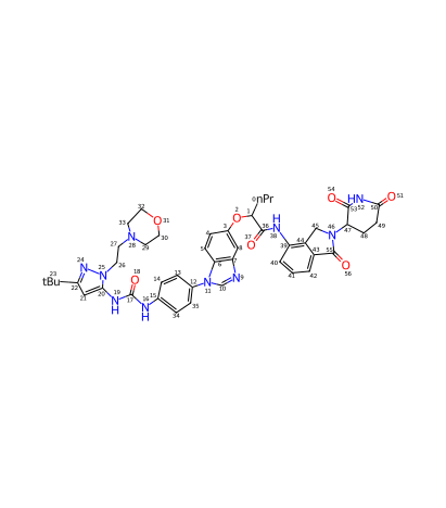 CCCC(Oc1ccc2c(c1)ncn2-c1ccc(NC(=O)Nc2cc(C(C)(C)C)nn2CCN2CCOCC2)cc1)C(=O)Nc1cccc2c1CN(C1CCC(=O)NC1=O)C2=O